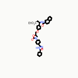 CCOC(=O)CC(NC(=O)c1ccc2ccccc2c1)c1ccc(OCC2CN(c3ccc(C4=NOC(c5ccccc5)N4)cc3)C(=O)O2)cc1